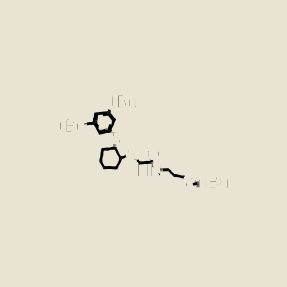 CCCCOCCCNC(=O)CSC1CCCCC1Sc1cc(C(C)(C)C)cc(C(C)(C)C)c1